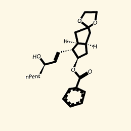 CCCCC[C@@H](O)/C=C/[C@@H]1[C@H]2CC3(C[C@H]2C[C@H]1OC(=O)c1ccccc1)OCCO3